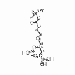 CC(C)C(C)(C)OC(=O)OCCOC[C@@H](CON(O)O)ON(O)O